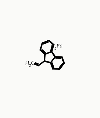 C=CC1c2ccccc2-c2ccccc21.[PoH2]